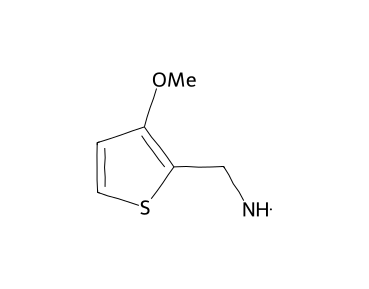 COc1ccsc1C[NH]